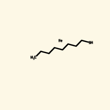 CCCCCCCCS.[Fe]